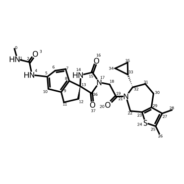 CNC(=O)Nc1ccc2c(c1)CC[C@]21NC(=O)N(CC(=O)N2Cc3sc(C)c(C)c3CC[C@H]2C2CC2)C1=O